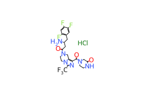 Cl.NC(CC(=O)N1CCn2c(C(F)(F)F)nc(C(=O)N3CCNC(=O)C3)c2C1)Cc1cc(F)c(F)cc1F